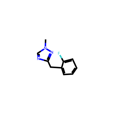 Cn1cnc(Cc2ccccc2F)n1